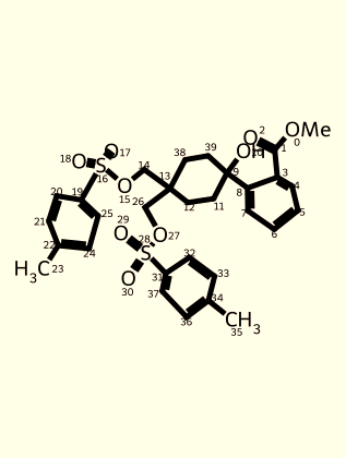 COC(=O)c1ccccc1C1(O)CCC(COS(=O)(=O)c2ccc(C)cc2)(COS(=O)(=O)c2ccc(C)cc2)CC1